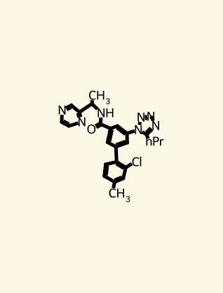 CCCc1nnnn1-c1cc(C(=O)NC(C)c2cnccn2)cc(-c2ccc(C)cc2Cl)c1